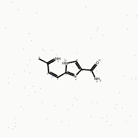 CC(=N)/C=C\c1nc(C(N)=O)c[nH]1